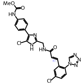 COC(=O)Nc1ccc(-c2nc(CNC(=O)/C=C/c3cc(Cl)ccc3-n3cnnn3)[nH]c2Cl)cc1